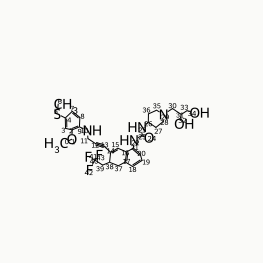 COc1cc(SC)ccc1NCC#CC1=Cc2c(cccc2NC(=O)NC2CCN(CC(O)CO)CC2)CC1CC(F)(F)F